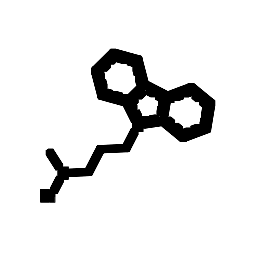 CCN(C)CCCn1c2ccccc2c2ccccc21